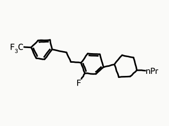 CCCC1CCC(c2ccc(CCc3ccc(C(F)(F)F)cc3)c(F)c2)CC1